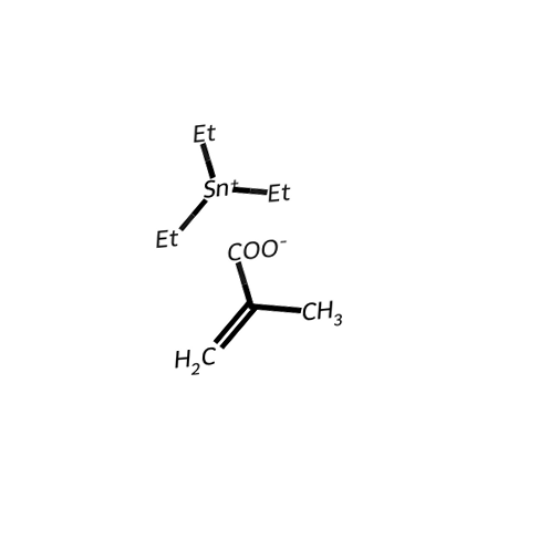 C=C(C)C(=O)[O-].C[CH2][Sn+]([CH2]C)[CH2]C